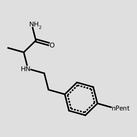 CCCCCc1ccc(CCNC(C)C(N)=O)cc1